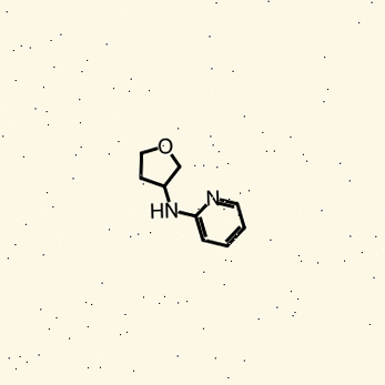 c1ccc(NC2CCOC2)nc1